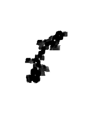 CCCCC(CC(NC)OC(=O)/C=C/C(=O)OC(CC(CCCC)Oc1cc(Cl)ccc1Cl)NC)Oc1cc(Cl)ccc1Cl